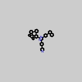 c1ccc2c(c1)-c1ccccc1C1(c3ccc(-c4nc(-c5ccc(-c6ccncc6)cc5)cc(-c5ccc(-c6cccc7ccccc67)cc5)n4)cc3-2)c2ccccc2-c2ccccc21